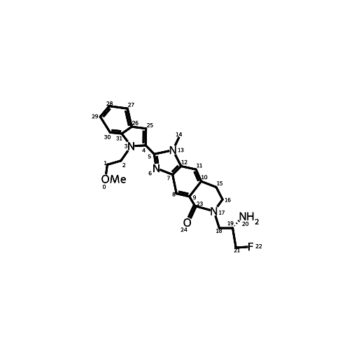 COCCn1c(-c2nc3cc4c(cc3n2C)CCN(C[C@H](N)CF)C4=O)cc2ccccc21